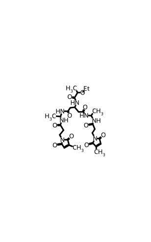 CCOC(C)C(=O)NC(CC(=O)NC(C)NC(=O)CCN1C(=O)C=C(C)C1=O)CC(=O)NC(C)NC(=O)CCN1C(=O)C=C(C)C1=O